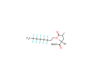 CCC(C)(CC(C)C(=O)OCCC(F)(F)C(F)(F)C(F)(F)C(F)(F)C(F)(F)C(F)(F)F)C(=O)OC